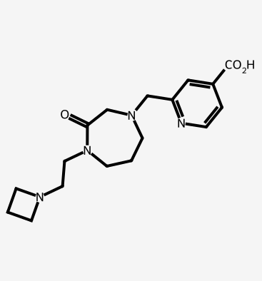 O=C(O)c1ccnc(CN2CCCN(CCN3CCC3)C(=O)C2)c1